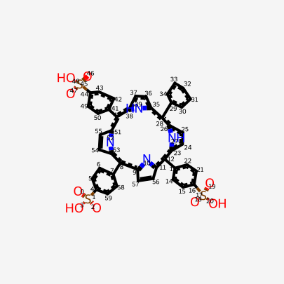 O=S(=O)(O)c1ccc(-c2c3nc(c(-c4ccc(S(=O)(=O)O)cc4)c4ccc([nH]4)c(-c4ccccc4)c4ccc([nH]4)c(-c4ccc(S(=O)(=O)O)cc4)c4nc2C=C4)C=C3)cc1